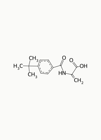 C=C(NC(=O)c1ccc(C(C)(C)C)cc1)C(=O)O